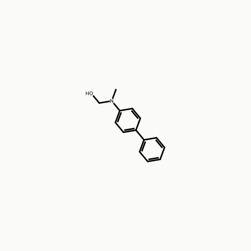 CN(CO)c1ccc(-c2ccccc2)cc1